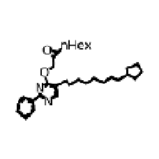 CCCCCCC1OC1COc1nc(-c2ccccc2)ncc1CCCCCCCCC1CCCC1